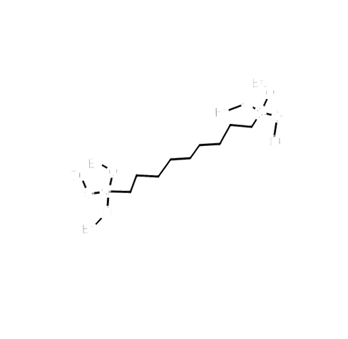 CCO[Si](CCCCCCCCC[Si](OCC)(OCC)OCC)(OCC)OCC